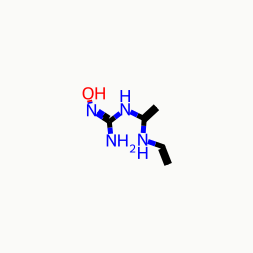 C=CNC(=C)N/C(N)=N\O